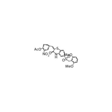 COc1cccc(OC)c1CS(=O)(=O)c1ccc2c(c1)NC(=O)/C(=C\c1ccc(OC(C)=O)c([N+](=O)[O-])c1)S2